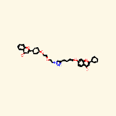 O=c1cc(-c2ccc(OCCOCCn3cc(CCCCOc4ccc5c(=O)cc(-c6ccccc6)oc5c4)nn3)cc2)oc2ccccc12